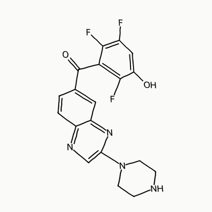 O=C(c1ccc2ncc(N3CCNCC3)nc2c1)c1c(F)c(O)cc(F)c1F